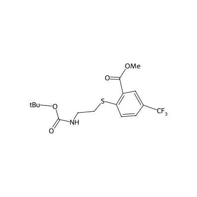 COC(=O)c1cc(C(F)(F)F)ccc1SCCNC(=O)OC(C)(C)C